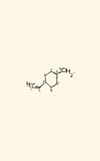 C=C[C@H]1CC[C@@H]([CH2])CC1